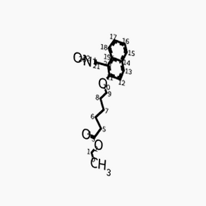 CCOC(=O)CCCCCOc1ccc2ccccc2c1C#[N+][O-]